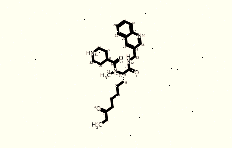 CCC(=O)CCCCC[C@@H](C(=O)NCc1cnc2ccccc2c1)N(C)C(=O)C1CCNCC1